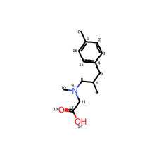 Cc1ccc(CC(C)CN(C)CC(=O)O)cc1